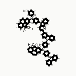 CC1(C)c2cccc3ccc4cc(N(c5ccc(-n6c7ccccc7c7ccccc76)cc5)c5ccc(-n6c7ccccc7c7cc(-c8ccc9c(n8)c8ccccc8n9-c8ccc(N(c9cccc(C#N)c9)c9cc%10c%11c(ccc%12cccc(c%12%11)C%10(C)C)c9)cc8)ccc76)cc5)cc1c4c23